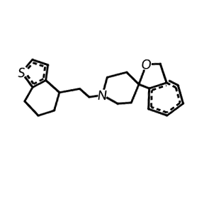 c1ccc2c(c1)COC21CCN(CCC2CCCc3sccc32)CC1